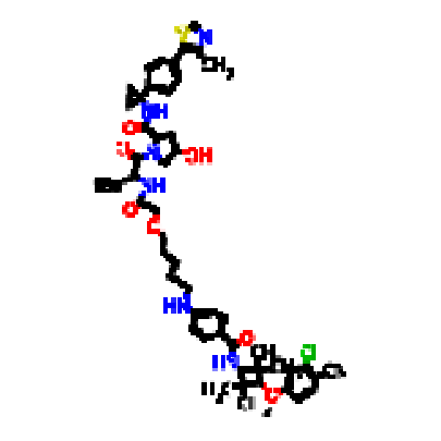 Cc1ncsc1-c1ccc(C2(NC(=O)C3C[C@@H](O)CN3C(=O)[C@@H](NC(=O)COCCCCCNc3ccc(C(=O)N[C@H]4C(C)(C)[C@H](Oc5ccc(C#N)c(Cl)c5)C4(C)C)cc3)C(C)(C)C)CC2)cc1